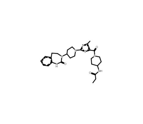 CCC(=O)NC1CCN(C(=O)c2sc(N3CCC(N4CCc5ccccc5NC4=O)CC3)nc2C)CC1